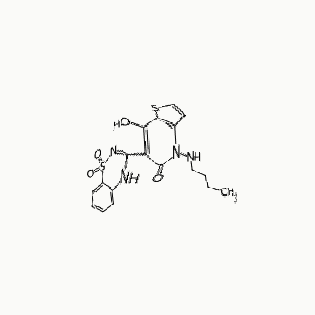 CCCCNn1c(=O)c(C2=NS(=O)(=O)c3ccccc3N2)c(O)c2sccc21